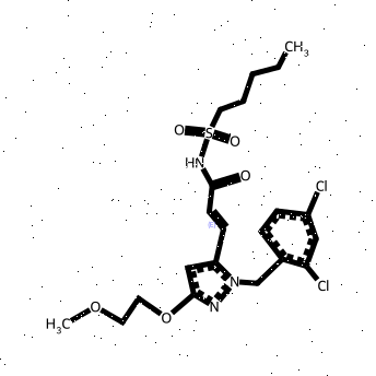 CCCCCS(=O)(=O)NC(=O)/C=C/c1cc(OCCOC)nn1Cc1ccc(Cl)cc1Cl